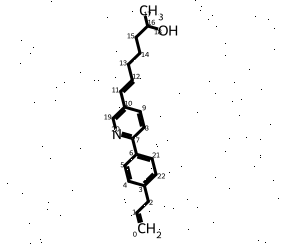 C=CCc1ccc(-c2ccc(C=CCCCC(C)O)cn2)cc1